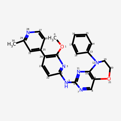 COc1nc(Nc2ncc3c(n2)N(c2ccccc2)CCO3)ccc1-c1ccnc(C)c1